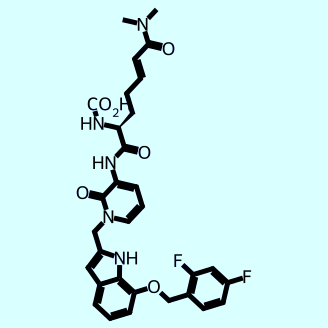 CN(C)C(=O)/C=C/CC[C@H](NC(=O)O)C(=O)Nc1cccn(Cc2cc3cccc(OCc4ccc(F)cc4F)c3[nH]2)c1=O